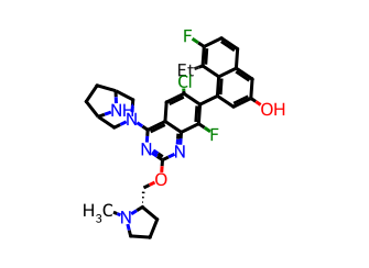 CCc1c(F)ccc2cc(O)cc(-c3c(Cl)cc4c(N5CC6CCC(C5)N6)nc(OC[C@@H]5CCCN5C)nc4c3F)c12